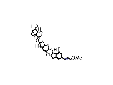 COC/C=C/c1cc(F)c2c(c1)CCC2Nc1nc2nc(O[C@@H]3CO[C@@H]4[C@H](O)CO[C@@]43I)[nH]c2cc1Cl